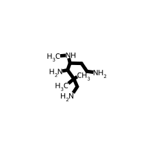 CNC(CCN)C(N)C(C)(C)CN